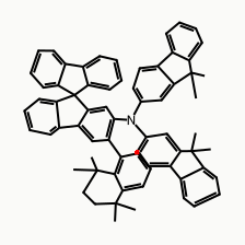 CC1(C)CCC(C)(C)c2c(-c3cc4c(cc3N(c3ccc5c(c3)C(C)(C)c3ccccc3-5)c3ccc5c(c3)C(C)(C)c3ccccc3-5)C3(c5ccccc5-c5ccccc53)c3ccccc3-4)cccc21